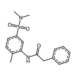 Cc1ccc(S(=O)(=O)N(C)C)cc1NC(=O)Cc1ccccc1